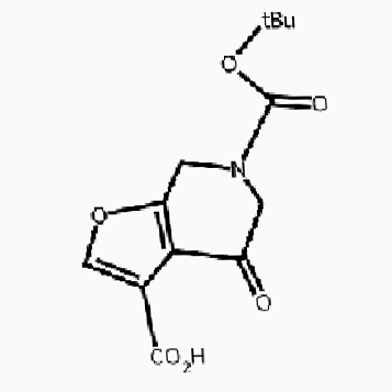 CC(C)(C)OC(=O)N1CC(=O)c2c(C(=O)O)coc2C1